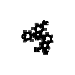 CCc1cc2c(cc1Br)CCCN2c1nn(C2CCOCC2)c2c1CN(C(C)=O)CC2